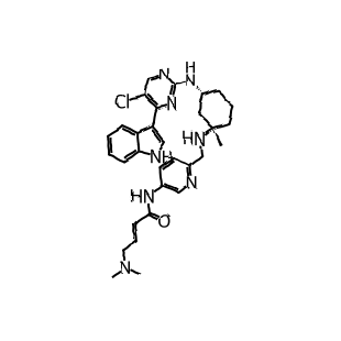 CN(C)C/C=C/C(=O)Nc1ccc(CN[C@@]2(C)CCC[C@@H](Nc3ncc(Cl)c(-c4c[nH]c5ccccc45)n3)C2)nc1